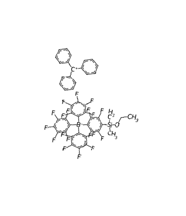 CCO[Si](C)(C)c1c(F)c(F)c([B-](c2c(F)c(F)c(F)c(F)c2F)(c2c(F)c(F)c(F)c(F)c2F)c2c(F)c(F)c(F)c(F)c2F)c(F)c1F.c1ccc([C+](c2ccccc2)c2ccccc2)cc1